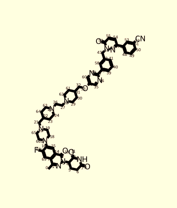 Cc1nn(C2CCC(=O)NC2=O)c(=O)c2cc(N3CCN(CC4CCN(CCN5CCC(COc6cnc(-c7cccc(Cn8nc(-c9cccc(C#N)c9)ccc8=O)c7)nc6)CC5)CC4)CC3)c(F)cc12